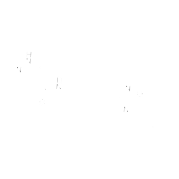 O=C(NC1CCc2cc(-c3noc(C4CC4)n3)ccc21)c1cn[nH]c1